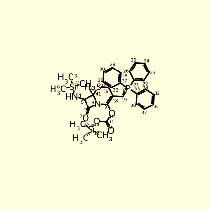 C[Si](C)(C)NC1C(=O)N2C(OC(=O)O[Si](C)(C)C)=C(C=P(c3ccccc3)(c3ccccc3)c3ccccc3)CS[C@@H]12